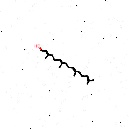 CC(C)=CCC/C(C)=C/CC/C(C)=C/CC/C(C)=C/[CH]O